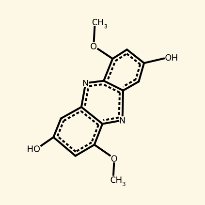 COc1cc(O)cc2nc3c(OC)cc(O)cc3nc12